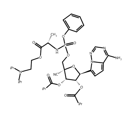 CC(C)C(=O)O[C@H]1[C@H](c2ccc3c(N)ncnn23)O[C@](C#N)(COP(=O)(N[C@@H](C)C(=O)OCCN(C(C)C)C(C)C)Oc2ccccc2)[C@H]1OC(=O)C(C)C